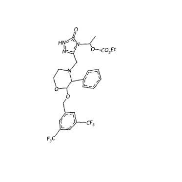 CCOC(=O)OC(C)n1c(CN2CCOC(OCc3cc(C(F)(F)F)cc(C(F)(F)F)c3)C2c2ccccc2)n[nH]c1=O